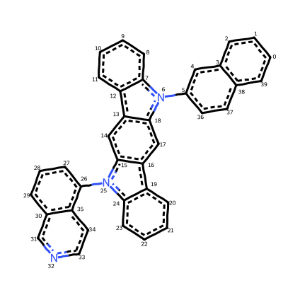 c1ccc2cc(-n3c4ccccc4c4cc5c(cc43)c3ccccc3n5-c3cccc4cnccc34)ccc2c1